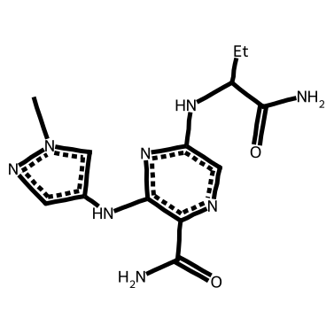 CCC(Nc1cnc(C(N)=O)c(Nc2cnn(C)c2)n1)C(N)=O